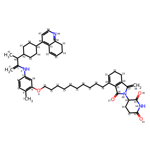 C=C(Nc1ccc(C)c(OCCCCCCCCCCC2=CCCC3=C2C(=O)N(C2CCC(=O)NC2=O)C3=C)c1)C(C)C1CCC(c2ccnc3c2C=CCC3)CC1